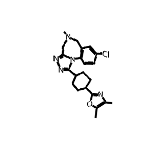 Cc1nc(C2CCC(c3nnc4n3-c3ccc(Cl)cc3CN(C)C4)CC2)oc1C